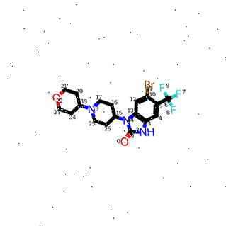 O=c1[nH]c2cc(C(F)(F)F)c(Br)cc2n1C1CCN(C2CCOCC2)CC1